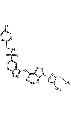 CC[C@H]1O[C@@H](n2cnc3c(On4nnc5ccc(S(=O)(=O)NCc6ccc(C)cc6)cc54)ncnc32)CC1C